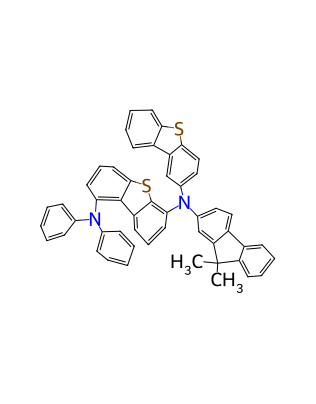 CC1(C)c2ccccc2-c2ccc(N(c3ccc4sc5ccccc5c4c3)c3cccc4c3sc3cccc(N(c5ccccc5)c5ccccc5)c34)cc21